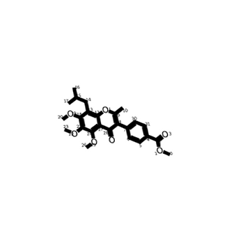 COC(=O)c1ccc(-c2c(C)oc3c(CC(C)C)c(OC)c(OC)c(OC)c3c2=O)cc1